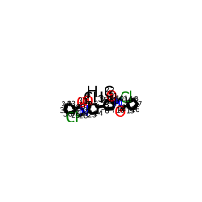 COc1cc(-c2ccc(N(CCl)C(=O)c3ccccc3)c(OC)c2)ccc1N(CCl)C(=O)c1ccccc1